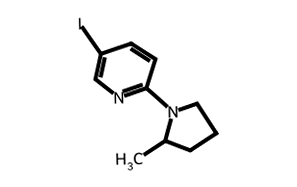 CC1CCCN1c1ccc(I)cn1